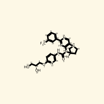 O=C(Nc1ccc(OC[C@H](O)CO)nc1)N1c2nc(-c3cccc(C(F)(F)F)c3)ncc2N2CC[C@H]1C2